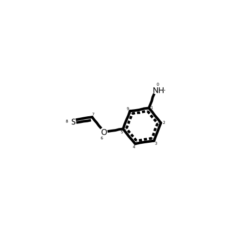 [NH]c1cccc(OC=S)c1